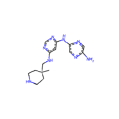 CC1(CNc2cc(Nc3cnc(N)cn3)ncn2)CCNCC1